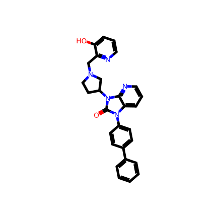 O=c1n(-c2ccc(-c3ccccc3)cc2)c2cccnc2n1C1CCN(Cc2ncccc2O)C1